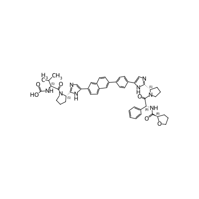 CC(C)[C@H](NC(=O)O)C(=O)N1CCC[C@H]1c1ncc(-c2ccc3cc(-c4ccc(-c5cnc([C@@H]6CCCN6C(=O)[C@H](NC(=O)[C@H]6CCCO6)c6ccccc6)[nH]5)cc4)ccc3c2)[nH]1